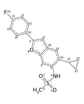 CS(=O)(=O)Nc1cc2oc(-c3ccc(F)cc3)cc2cc1C1CC1